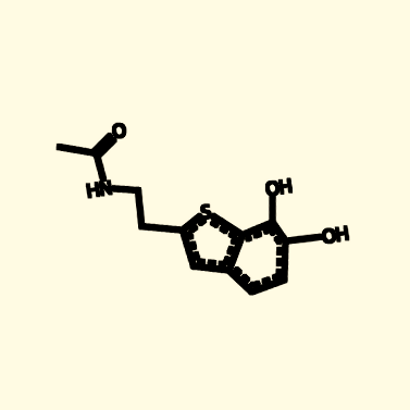 CC(=O)NCCc1cc2ccc(O)c(O)c2s1